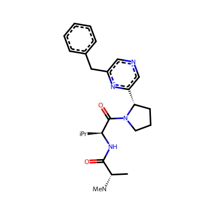 CN[C@@H](C)C(=O)N[C@H](C(=O)N1CCC[C@H]1c1cncc(Cc2ccccc2)n1)C(C)C